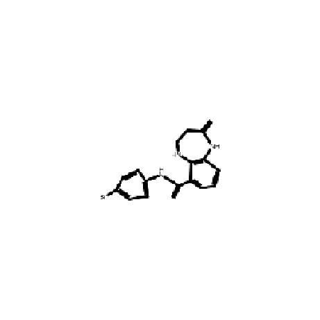 C=C1CCNc2c(cccc2C(=C)Nc2ccc(Br)cc2)N1